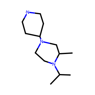 CC(C)N1CCN(C2CC[N]CC2)CC1C